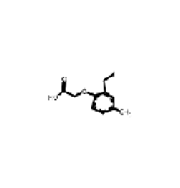 Cc1ccc(OCC(=O)O)c(CI)c1